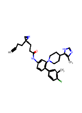 C#CCCC1(CCC(=O)Nc2ccc(-c3ccc(F)c(C)c3)c(N3CCC(c4[nH]cnc4C)CC3)c2)C=N1